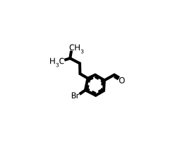 CC(C)CCc1cc(C=O)ccc1Br